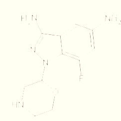 Nc1cc(F)c2c(c1)c(N)nn2C1CNCCO1